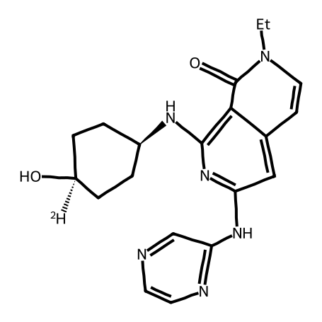 [2H][C@]1(O)CC[C@@H](Nc2nc(Nc3cnccn3)cc3ccn(CC)c(=O)c23)CC1